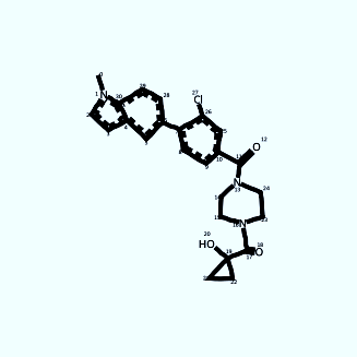 Cn1ccc2cc(-c3ccc(C(=O)N4CCN(C(=O)C5(O)CC5)CC4)cc3Cl)ccc21